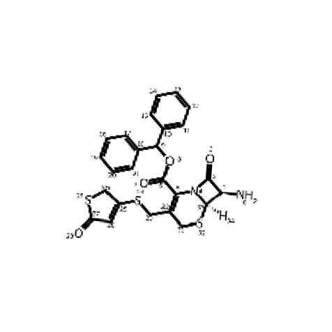 N[C@@H]1C(=O)N2C(C(=O)OC(c3ccccc3)c3ccccc3)=C(CSC3=CC(=O)SC3)CS[C@H]12